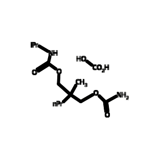 CCCC(C)(COC(N)=O)COC(=O)NC(C)C.O=C(O)O